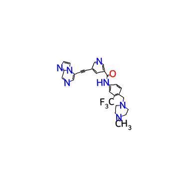 CN1CCN(Cc2ccc(NC(=O)c3cncc(C#Cc4cncc5nccn45)c3)cc2C(F)(F)F)CC1